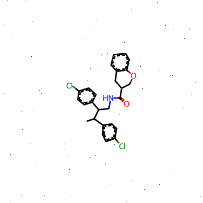 CC(c1ccc(Cl)cc1)C(CNC(=O)C1COc2ccccc2C1)c1ccc(Cl)cc1